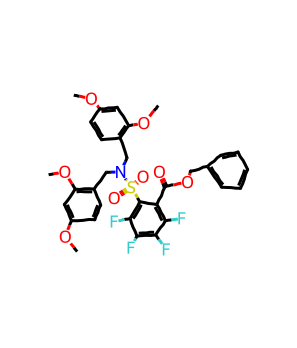 COc1ccc(CN(Cc2ccc(OC)cc2OC)S(=O)(=O)c2c(F)c(F)c(F)c(F)c2C(=O)OCc2ccccc2)c(OC)c1